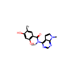 CCCN(C(=O)c1cc(C(C)C)c(O)cc1O)c1ncnc2c1ccn2C